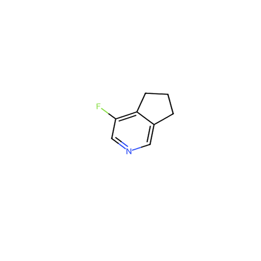 Fc1cncc2c1CCC2